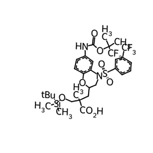 CC(CO[Si](C)(C)C(C)(C)C)(CC1CN(S(=O)(=O)c2cccc(C(F)(F)F)c2)c2cc(NC(=O)OC(C)(C)C(F)(F)F)ccc2O1)C(=O)O